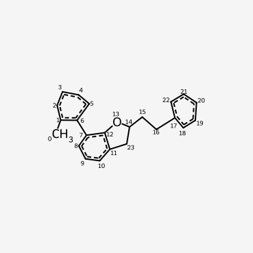 Cc1ccccc1-c1cccc2c1OC(CCc1ccccc1)C2